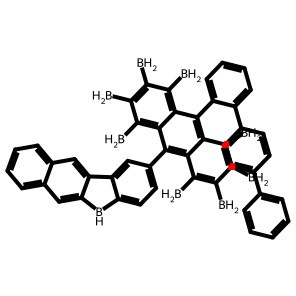 Bc1c(B)c(B)c2c(-c3ccccc3-c3ccc(-c4ccccc4)cc3)c3c(B)c(B)c(B)c(B)c3c(-c3ccc4c(c3)-c3cc5ccccc5cc3B4)c2c1B